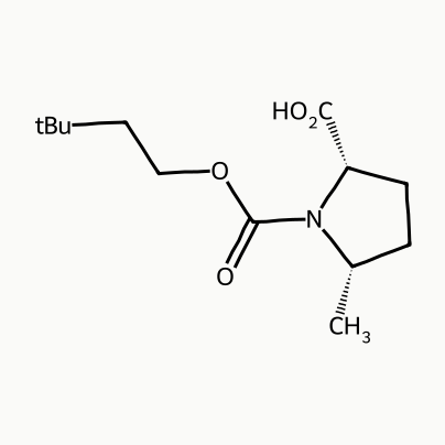 C[C@H]1CC[C@@H](C(=O)O)N1C(=O)OCCC(C)(C)C